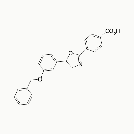 O=C(O)c1ccc(C2=NCC(c3cccc(OCc4ccccc4)c3)O2)cc1